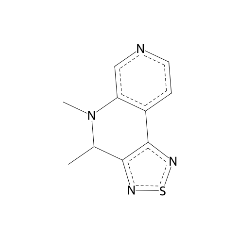 CC1c2nsnc2-c2ccncc2N1C